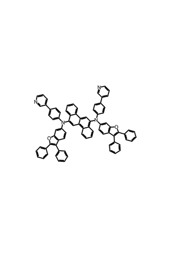 c1ccc(-c2oc3cc(N(c4ccc(-c5cccnc5)cc4)c4cc5c6ccccc6c(N(c6ccc(-c7cccnc7)cc6)c6ccc7c(-c8ccccc8)c(-c8ccccc8)oc7c6)cc5c5ccccc45)ccc3c2-c2ccccc2)cc1